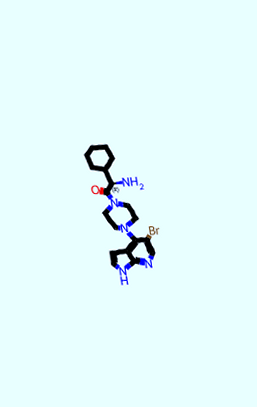 N[C@@H](C(=O)N1CCN(c2c(Br)cnc3[nH]ccc23)CC1)C1CCCCC1